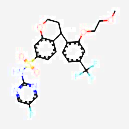 COCCOc1cc(C(F)(F)F)ccc1[C@]1(C)CCOc2cc(S(=O)(=O)Nc3ncc(F)cn3)ccc21